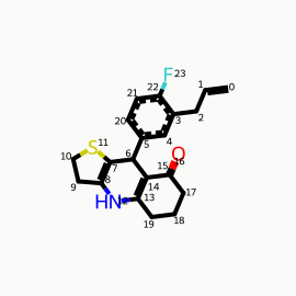 C=CCc1cc(C2C3=C(CCS3)NC3=C2C(=O)CCC3)ccc1F